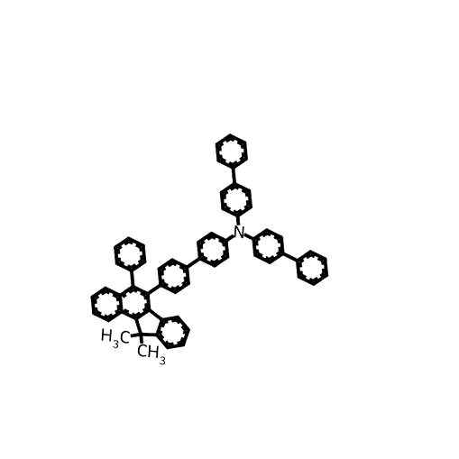 CC1(C)c2ccccc2-c2c(-c3ccc(-c4ccc(N(c5ccc(-c6ccccc6)cc5)c5ccc(-c6ccccc6)cc5)cc4)cc3)c(-c3ccccc3)c3ccccc3c21